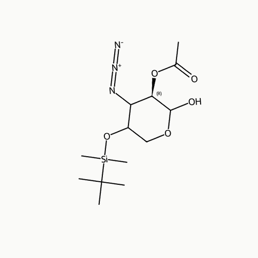 CC(=O)O[C@H]1C(O)OCC(O[Si](C)(C)C(C)(C)C)C1N=[N+]=[N-]